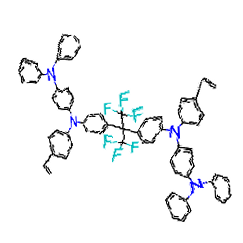 C=Cc1ccc(N(c2ccc(N(c3ccccc3)c3ccccc3)cc2)c2ccc(C(c3ccc(N(c4ccc(C=C)cc4)c4ccc(N(c5ccccc5)c5ccccc5)cc4)cc3)(C(F)(F)F)C(F)(F)F)cc2)cc1